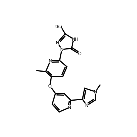 Cc1nc(-n2nc(C(C)(C)C)[nH]c2=O)ccc1Oc1ccnc(-c2cn(C)cn2)c1